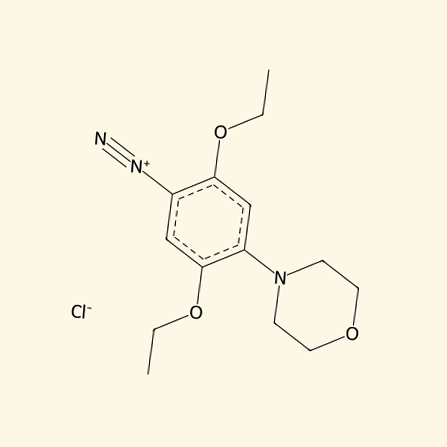 CCOc1cc(N2CCOCC2)c(OCC)cc1[N+]#N.[Cl-]